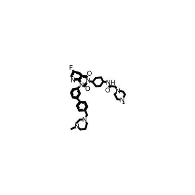 CN1CCN(CC(=O)NC2CCC(n3c(=O)c4cc(F)cnc4n(-c4cccc(-c5ccc(CN6CCCN(C)CC6)cc5)c4)c3=O)CC2)CC1